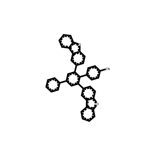 N#Cc1ccc(-c2c(-c3ccc4oc5ccccc5c4c3)cc(-c3ccccc3)cc2-c2ccc3oc4ccccc4c3c2)cc1